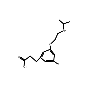 CC(C)NCCOc1cc(F)cc(CCC(=O)S)c1